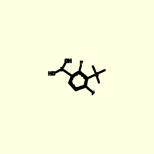 C[Si](C)(C)c1c(F)ccc(B(O)O)c1F